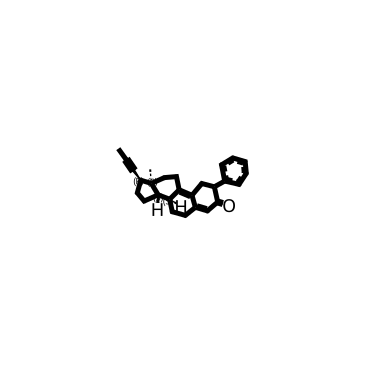 CC#C[C@@H]1CC[C@H]2[C@@H]3CCC4=CC(=O)C(c5ccccc5)CC4=C3CC[C@]12C